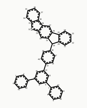 c1ccc(-c2cc(-c3ccccc3)cc(-c3ccc(C4c5ccccc5-c5cc6c(cc54)sc4ccccc46)cc3)c2)cc1